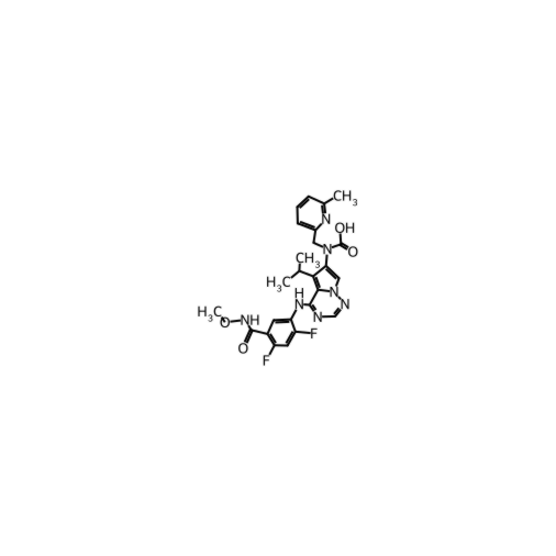 CONC(=O)c1cc(Nc2ncnn3cc(N(Cc4cccc(C)n4)C(=O)O)c(C(C)C)c23)c(F)cc1F